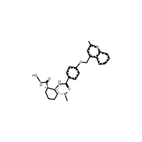 Cc1cc(COc2ccc(C(=O)N[C@H]3[C@H](N(C)C)CCC[C@H]3C(=O)NO)cc2)c2ccccc2n1